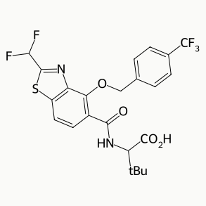 CC(C)(C)C(NC(=O)c1ccc2sc(C(F)F)nc2c1OCc1ccc(C(F)(F)F)cc1)C(=O)O